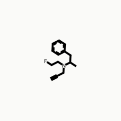 C#CCN(CCF)C(C)Cc1ccccc1